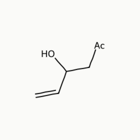 C=CC(O)CC(C)=O